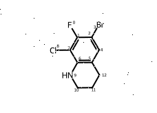 Fc1c(Br)cc2c(c1Cl)NCCC2